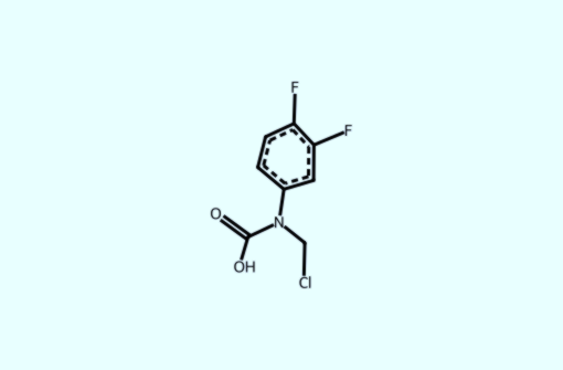 O=C(O)N(CCl)c1ccc(F)c(F)c1